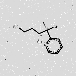 C[C@](O)(c1ccccn1)[C@H](O)CCC(F)(F)F